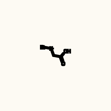 CC[N]CC(=O)O